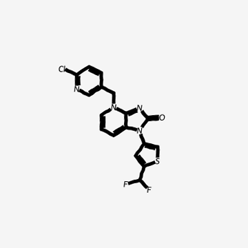 O=c1nc2n(Cc3ccc(Cl)nc3)cccc-2n1-c1csc(C(F)F)c1